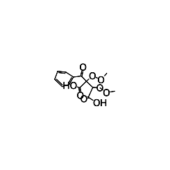 COOC(C(=O)O)C(OOC)(C(=O)O)C(=O)c1ccccc1